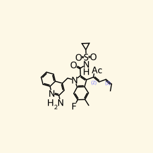 C/C=C\C=C(/C(C)=O)c1c(C(=O)NS(=O)(=O)C2CC2)n(Cc2cc(N)nc3ccccc23)c2cc(F)c(C)cc12